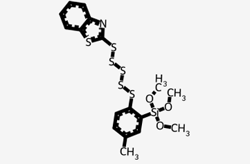 CO[Si](OC)(OC)c1cc(C)ccc1SSSSSc1nc2ccccc2s1